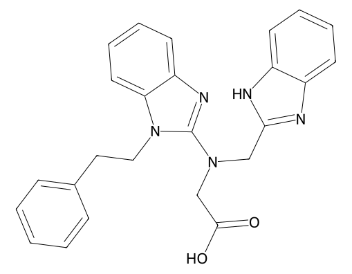 O=C(O)CN(Cc1nc2ccccc2[nH]1)c1nc2ccccc2n1CCc1ccccc1